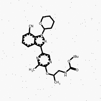 Cc1nc(-c2nn(C3CCCCO3)c3c(C#N)cccc23)cnc1OC(C)CNC(=O)OC(C)(C)C